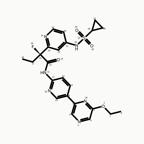 CCOc1cncc(-c2ccc(NC(=O)[C@](F)(CC)c3cc(NS(=O)(=O)C4CC4)ccn3)nc2)n1